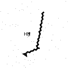 CCCCCCCCCCCCCCCCCCCCC(C)CCCCCCC1CC1.CNC